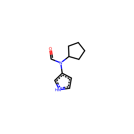 O=CN(c1cc[nH]c1)C1CCCC1